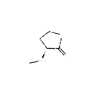 O=C1OCC[C@@H]1NI